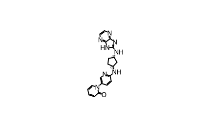 O=c1ccccn1-c1ccc(N[C@H]2CC[C@H](Nc3nc4nccnc4[nH]3)C2)nc1